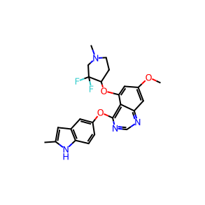 COc1cc(OC2CCN(C)CC2(F)F)c2c(Oc3ccc4[nH]c(C)cc4c3)ncnc2c1